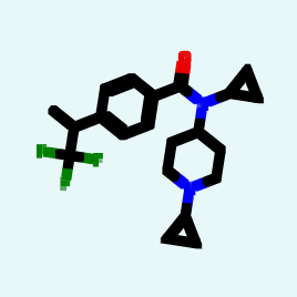 CC(c1ccc(C(=O)N(C2CC2)C2CCN(C3CC3)CC2)cc1)C(F)(F)F